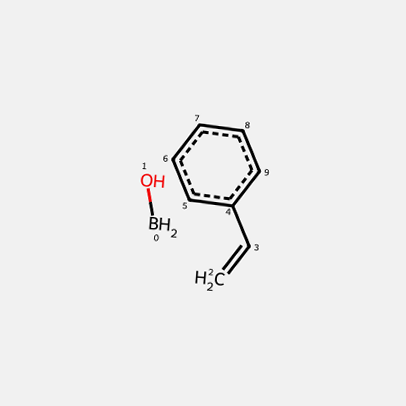 BO.C=Cc1ccccc1